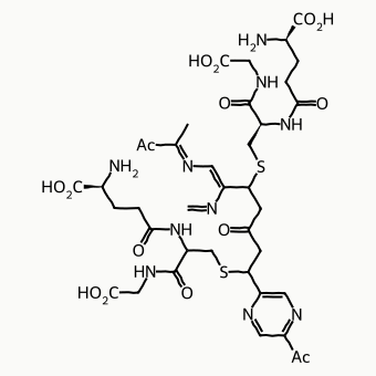 C=N/C(=C\N=C(/C)C(C)=O)C(CC(=O)CC(SCC(NC(=O)CC[C@H](N)C(=O)O)C(=O)NCC(=O)O)c1cnc(C(C)=O)cn1)SC[C@H](NC(=O)CC[C@@H](N)C(=O)O)C(=O)NCC(=O)O